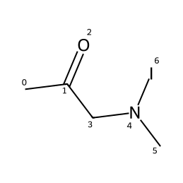 CC(=O)CN(C)I